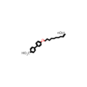 CCCCCCCC/C=C\CCCCCCCCOc1ccc(-c2ccc(C(=O)O)cc2)cc1